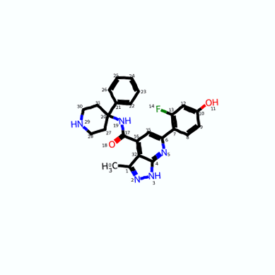 Cc1n[nH]c2nc(-c3ccc(O)cc3F)cc(C(=O)NC3(c4ccccc4)CCNCC3)c12